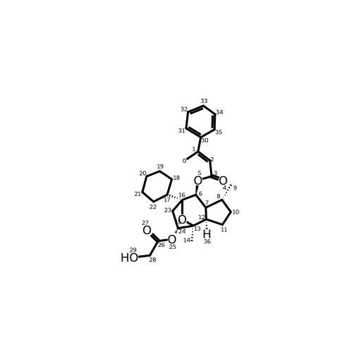 C/C(=C\C(=O)O[C@H]1C2[C@H](C)CC[C@H]2[C@]2(C)O[C@@]1(C1CCCCC1)C[C@H]2OC(=O)CO)c1ccccc1